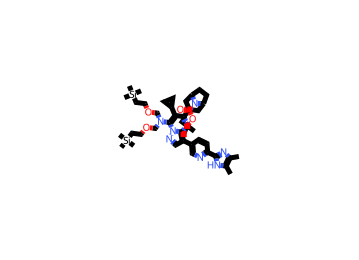 Cc1nc(-c2ccc(-c3cnn4c(N(COCC[Si](C)(C)C)COCC[Si](C)(C)C)c(C5CC5)c(C5CC6CCC(C5)N6C(=O)OC(C)(C)C)nc34)cn2)[nH]c1C